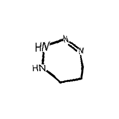 C1CNNN=N1